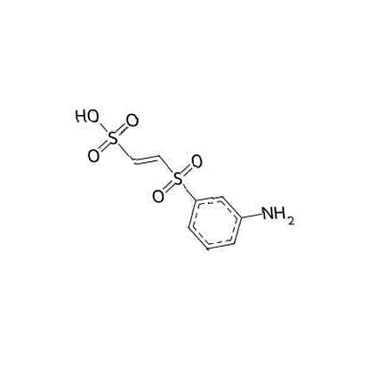 Nc1cccc(S(=O)(=O)C=CS(=O)(=O)O)c1